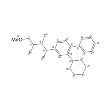 COCC(F)C(F)C(F)c1ccc(-c2ccccc2)c(C2CCCCC2)c1